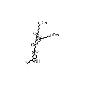 CCCCCCCCCCCCCCCC(=O)OC[C@H](COC(=O)CCC(=O)Oc1ccc2[nH]cc(CCN(C)C)c2c1)OC(=O)CCCCCCCCCCCCCCC